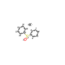 [K].[O-][S+](c1ccccc1)c1ccccc1